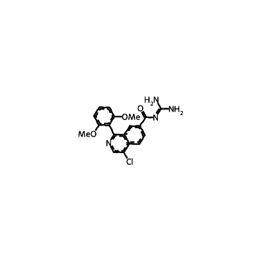 COc1cccc(OC)c1-c1ncc(Cl)c2ccc(C(=O)N=C(N)N)cc12